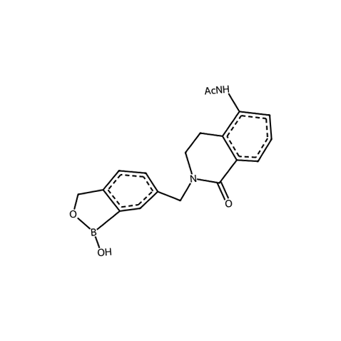 CC(=O)Nc1cccc2c1CCN(Cc1ccc3c(c1)B(O)OC3)C2=O